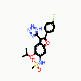 CC(C)Oc1cc2c(-c3nnn[nH]3)c(-c3ccc(F)cc3)oc2cc1NS(C)(=O)=O